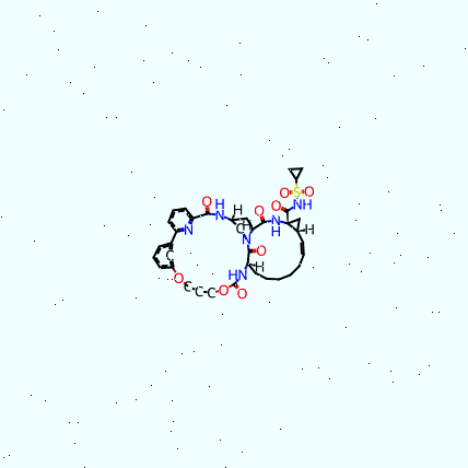 O=C1N[C@H]2CCCCC/C=C\[C@H]3C[C@@]3(C(=O)NS(=O)(=O)C3CC3)NC(=O)[C@@H]3C[C@H](CN3C2=O)NC(=O)c2cccc(n2)-c2cccc(c2)OCCCO1